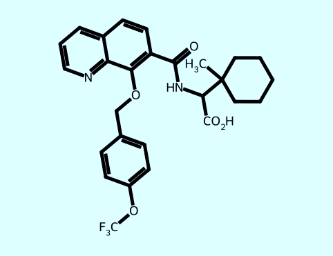 CC1(C(NC(=O)c2ccc3cccnc3c2OCc2ccc(OC(F)(F)F)cc2)C(=O)O)CCCCC1